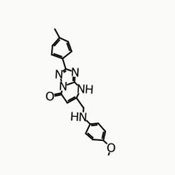 COc1ccc(NCc2cc(=O)n3nc(-c4ccc(C)cc4)nc3[nH]2)cc1